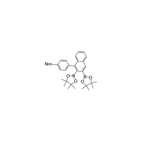 CC1(C)OB(c2cc3ccccc3c(-c3ccc(C#N)cc3)c2B2OC(C)(C)C(C)(C)O2)OC1(C)C